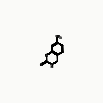 Cc1ccc2c(c1)OC(=O)NC2